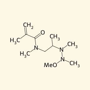 C=C(C)C(=O)N(C)CC(C)N(C)N(C)OC